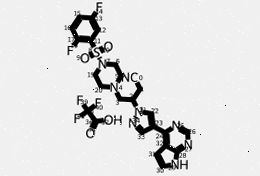 N#CCC(CN1CCN(S(=O)(=O)c2cc(F)ccc2F)CC1)n1cc(-c2ncnc3[nH]ccc23)cn1.O=C(O)C(F)(F)F